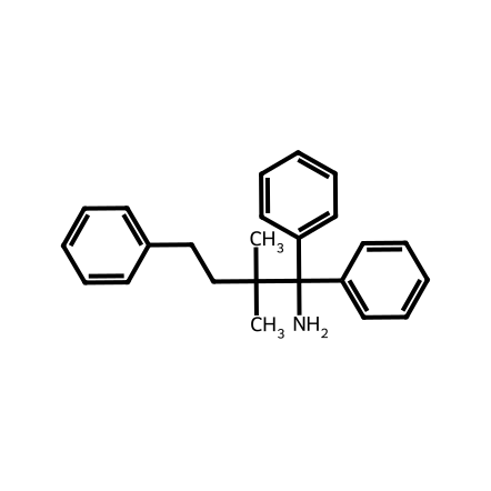 CC(C)(CCc1ccccc1)C(N)(c1ccccc1)c1ccccc1